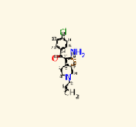 C=CCN1CCc2c(sc(N)c2C(=O)c2ccc(Cl)cc2)C1